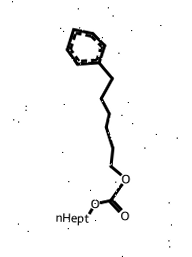 CCCCCCCOC(=O)OCCCCCCc1ccccc1